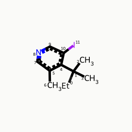 CCC(C)(C)c1c(C)cncc1I